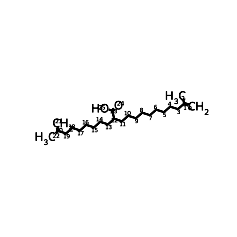 C=C(C)CCCCCCCCCC(CCCCCCCC(=C)C)C(=O)O